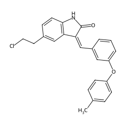 Cc1ccc(Oc2cccc(C=C3C(=O)Nc4ccc(CCCl)cc43)c2)cc1